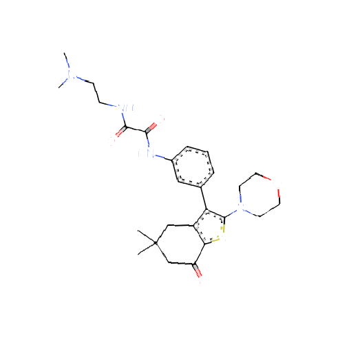 CN(C)CCNC(=O)C(=O)Nc1cccc(-c2c(N3CCOCC3)sc3c2CC(C)(C)CC3=O)c1